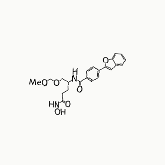 COCOCC(CCC(=O)NO)NC(=O)c1ccc(-c2cc3ccccc3o2)cc1